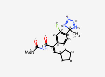 CNC(=O)NC(=O)/C(=C/C1CCCC1)c1ccc(C2(C)N=NN=N2)c(F)c1